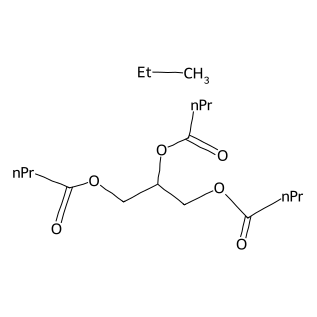 CCC.CCCC(=O)OCC(COC(=O)CCC)OC(=O)CCC